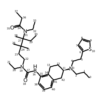 CCCN(CCc1cccs1)[C@@H]1CCc2c(BC(=O)N(CC)CCC(C)(C)C(C)(CC)N(CC)C(=O)CC)cccc2C1